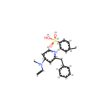 C=CN(C)c1ccnc(Cc2ccccc2)c1.Cc1ccc(S(=O)(=O)O)cc1